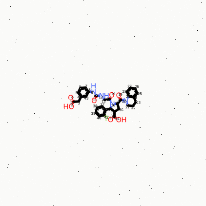 O=C(O)Cc1cccc(NC(=O)NCC(=O)N2C(C(=O)N3CCCc4ccccc43)CC(C(=O)O)C2c2ccccc2F)c1